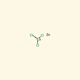 [Cl][Co]([Cl])[Cl].[Zn]